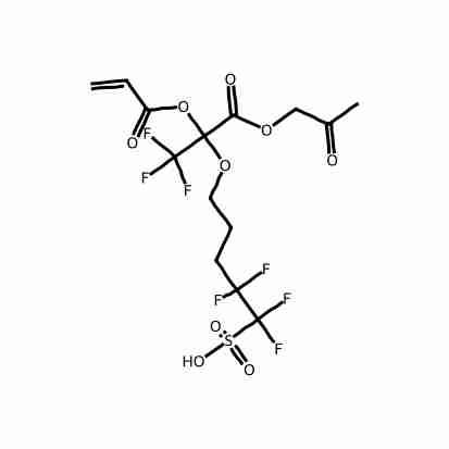 C=CC(=O)OC(OCCCC(F)(F)C(F)(F)S(=O)(=O)O)(C(=O)OCC(C)=O)C(F)(F)F